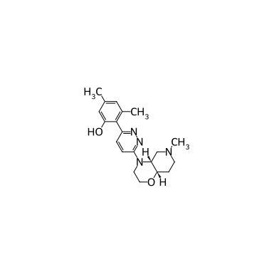 Cc1cc(C)c(-c2ccc(N3CCO[C@H]4CCN(C)C[C@H]43)nn2)c(O)c1